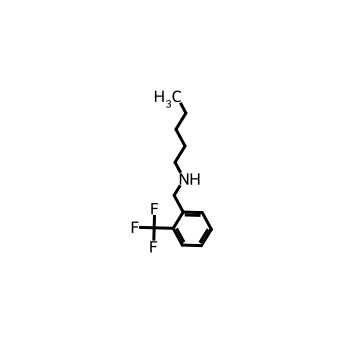 CCCCCNCc1ccccc1C(F)(F)F